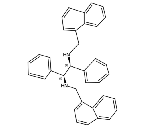 c1ccc([C@H](NCc2cccc3ccccc23)[C@@H](NCc2cccc3ccccc23)c2ccccc2)cc1